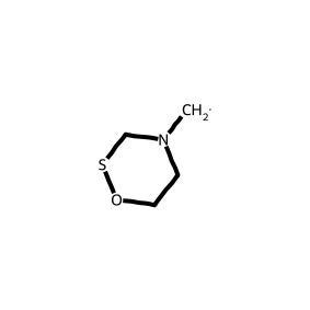 [CH2]N1CCOSC1